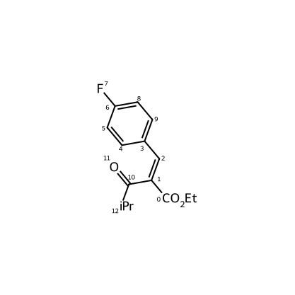 CCOC(=O)C(=Cc1ccc(F)cc1)C(=O)C(C)C